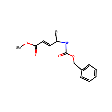 CC(C)[C@H](/C=C/C(=O)OC(C)(C)C)NC(=O)OCc1ccccc1